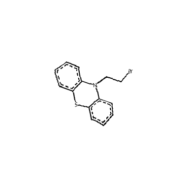 BrCCN1c2ccccc2Sc2ccccc21